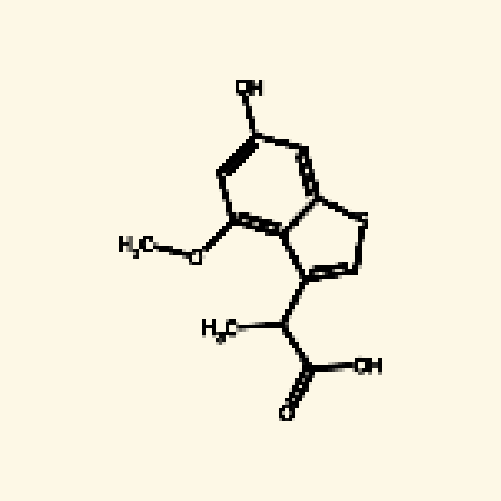 COc1cc(O)cc2scc(C(C)C(=O)O)c12